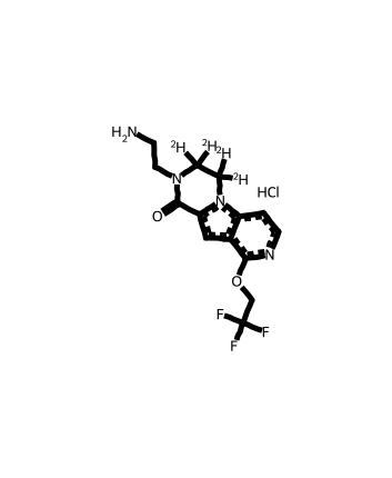 Cl.[2H]C1([2H])N(CCN)C(=O)c2cc3c(OCC(F)(F)F)nccc3n2C1([2H])[2H]